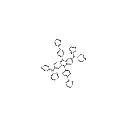 c1ccc(-c2ccc(-c3c4ccc(N(c5ccncc5)c5ccccn5)cc4c(-c4ccc(-c5ccccc5)cc4)c4ccc(N(c5ccncc5)c5ccccn5)cc34)cc2)cc1